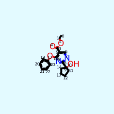 CCOC(=O)c1cnc(C2(O)CCCC2)nc1Oc1ccccc1